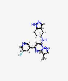 CC(C)c1cnn2c(N[C@H]3CCc4[nH]ncc4C3)cc(-c3cncc(F)c3)nc12